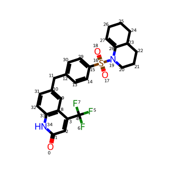 O=c1cc(C(F)(F)F)c2cc(Cc3ccc(S(=O)(=O)N4CCCC5CCCC=C54)cc3)ccc2[nH]1